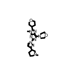 CN1CCCC(c2ccn(-c3nc(N4CCOCC4)c4nc(C5CCOCC5)n(C)c4n3)n2)C1